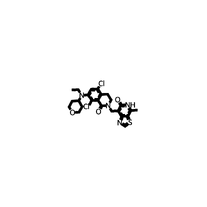 CCN(c1cc(Cl)c2c(c1Cl)C(=O)N(Cc1c(=O)[nH]c(C)c3scnc13)CC2)C1CCOCC1